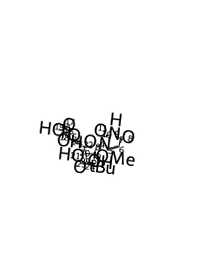 CO[C@]1(O)[C@H](n2ccc(=O)[nH]c2=O)O[C@H](COP(=O)(O)O)[C@]1(O)C(=O)C(C)(C)C